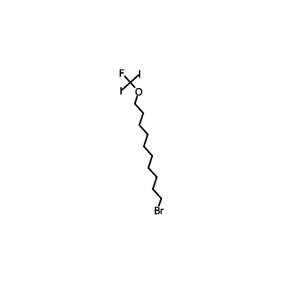 FC(I)(I)OCCCCCCCCCCBr